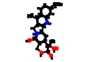 CC[C@@]1(O)C(=O)OCc2c1cc1n(c2=O)Cc2c-1nc1cc(OC)ccc1c2C(C)C